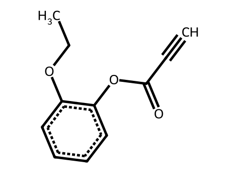 C#CC(=O)Oc1ccccc1OCC